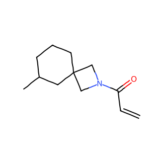 C=CC(=O)N1CC2(CCCC(C)C2)C1